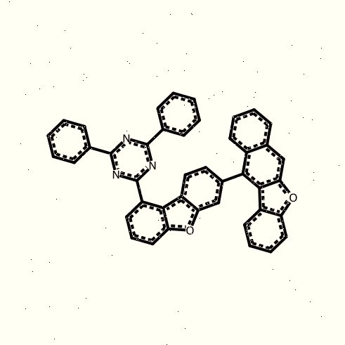 c1ccc(-c2nc(-c3ccccc3)nc(-c3cccc4oc5cc(-c6c7ccccc7cc7oc8ccccc8c67)ccc5c34)n2)cc1